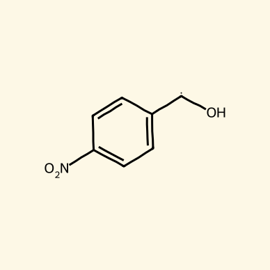 O=[N+]([O-])c1ccc([CH]O)cc1